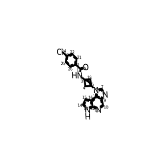 O=C(NC12CC(n3cnc4cnc5[nH]ccc5c43)(C1)C2)c1ccc(Cl)cc1